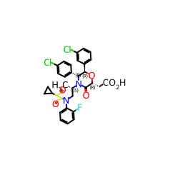 C[C@@H](CN(c1ccccc1F)S(=O)(=O)C1CC1)N1C(=O)[C@@H](CC(=O)O)O[C@H](c2cccc(Cl)c2)[C@H]1c1ccc(Cl)cc1